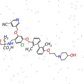 Cc1c(COc2cc(OCc3cncc(C#N)c3)c(CNC(C)(CO)C(=O)O)cc2Cl)cccc1-c1cccc(OCCCN2CCC(O)CC2)c1C